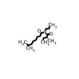 CCCN(C(=O)CCCCCC(C)C)C(=O)[C@@H](C)CC